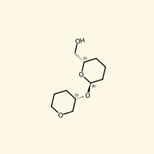 OC[C@@H]1CCC[C@@H](O[C@H]2CCCOC2)O1